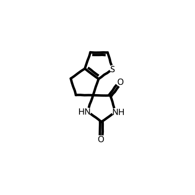 O=C1NC(=O)C2(CCc3ccsc32)N1